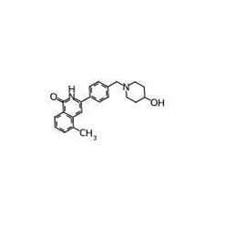 Cc1cccc2c(=O)[nH]c(-c3ccc(CN4CCC(O)CC4)cc3)cc12